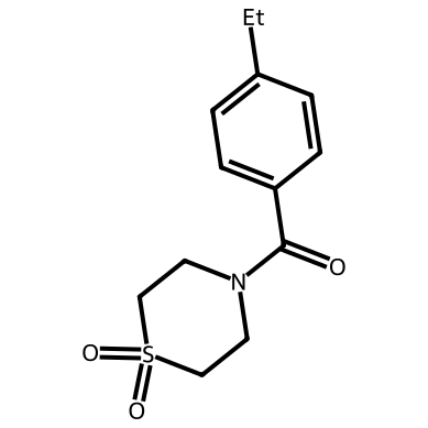 CCc1ccc(C(=O)N2CCS(=O)(=O)CC2)cc1